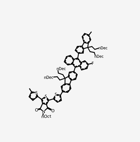 CCCCCCCCCCCCC1(CCCCCCCCCCCC)c2cc(C)ccc2-c2ccc(-c3c4ccccc4c(-c4ccc5c(c4)C(CCCCCCCCCCCC)(CCCCCCCCCCCC)c4cc(-c6ccc(-c7sc(-c8ccc(C)s8)c8c7C(=O)N(CCCCCCCC)C8=O)s6)ccc4-5)c4ccc(F)cc34)cc21